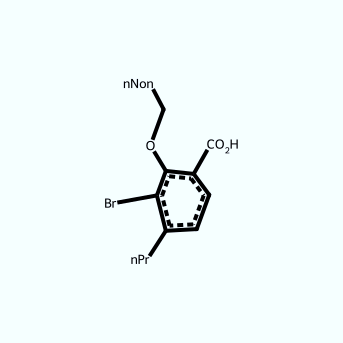 CCCCCCCCCCOc1c(C(=O)O)ccc(CCC)c1Br